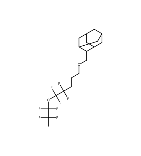 CC(F)(F)C(F)(F)OC(F)(F)C(F)(F)CCCOCC1C2CC3CC(C2)CC1C3